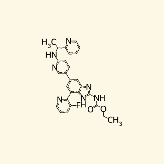 CCOC(=O)Nc1nc2cc(-c3ccc(NC(C)c4ccccn4)nc3)cc(-c3ncccc3F)c2[nH]1